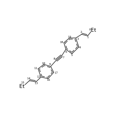 CCC=Cc1ccc(C#Cc2ccc(C=CCC)cc2)cc1